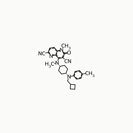 Cc1ccc(N(CC2CCC2)[C@H]2CC[C@@H](N(C)c3c(C#N)c(=O)n(C)c4ccc(C#N)nc34)CC2)cc1